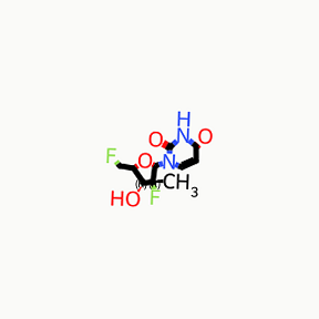 C[C@]1(F)C(n2ccc(=O)[nH]c2=O)OC(CF)[C@H]1O